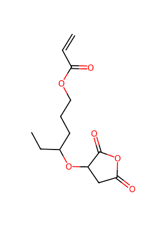 C=CC(=O)OCCCC(CC)OC1CC(=O)OC1=O